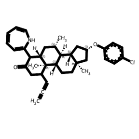 C=C=CC1CC(=O)C(C2=CC=CC=CN2)[C@@H]2C[C@H](C)[C@H]3[C@@H]4C[C@H](Oc5ccc(Cl)cc5)C[C@@]4(C)CC[C@@H]3[C@@]12C